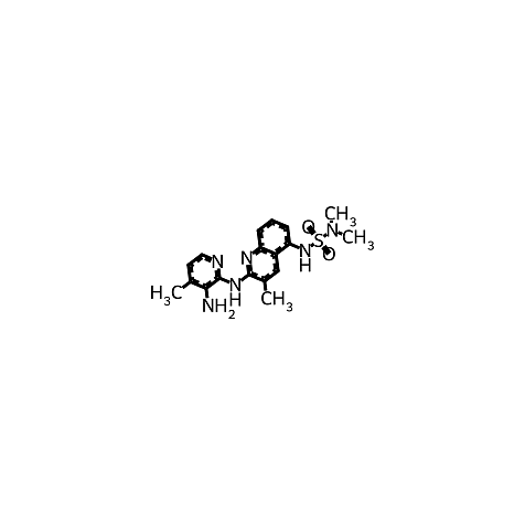 Cc1cc2c(NS(=O)(=O)N(C)C)cccc2nc1Nc1nccc(C)c1N